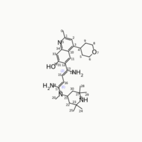 Cc1cc(C2CCOCC2)c2cc(/C(N)=C/C=C(\N)N(C)C3CC(C)(C)NC(C)(C)C3)c(O)cc2n1